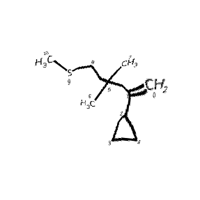 C=C(C1CC1)C(C)(C)CSC